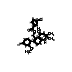 COc1cc(F)ccc1-c1ccc2c(c1COC(=O)c1ccc(Cl)s1)C(C)=CC(C)(C)N2